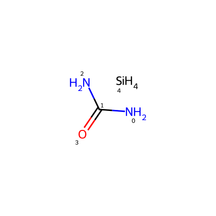 NC(N)=O.[SiH4]